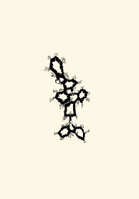 C1=Cc2c(n(C3C=C(c4ccccc4-n4c5ccccc5c5c6oc7ccccc7c6ccc54)C=CC3)c3ccccc23)CC1